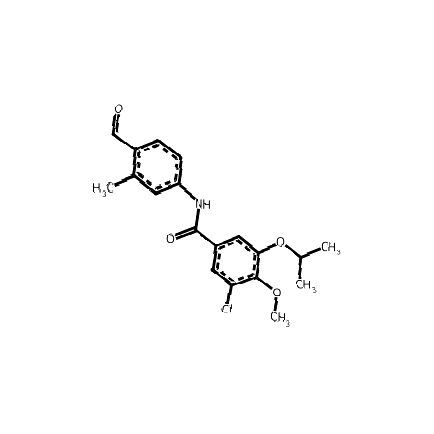 COc1c(Cl)cc(C(=O)Nc2ccc(C=O)c(C)c2)cc1OC(C)C